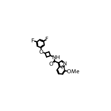 COc1cccc2c(C(=O)NC3CC(Oc4cc(F)cc(F)c4)C3)cnn12